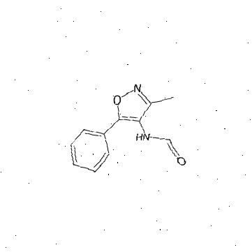 Cc1noc(-c2ccccc2)c1NC=O